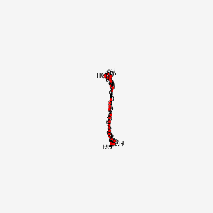 O=c1cc(-c2ccc(OCCOCCOCCOCCOCCOCCOCCOCCOCCOc3ccc(-c4cc(=O)c5c(O)cc(O)cc5o4)cc3)cc2)oc2cc(O)cc(O)c12